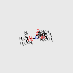 CC(C)CC(CC(C)C)OC(=O)OCCN(CCOC(=O)OC(CC(C)C)CC(C)C)CC(C)OC(=O)C(C)(C)C